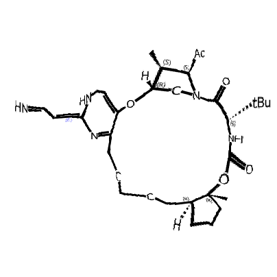 CC(=O)[C@@H]1[C@H](C)[C@@H]2CN1C(=O)[C@H](C(C)(C)C)NC(=O)O[C@]1(C)CCC[C@H]1CCCCCC1=N/C(=C/C=N)NC=C1O2